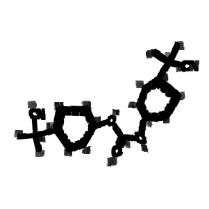 CC(C)(C#N)c1ccc(OC(=O)Oc2ccc(C(C)(C)C#N)cc2)cc1